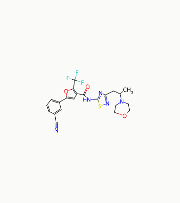 CC(Cc1nsc(NC(=O)c2cc(-c3cccc(C#N)c3)oc2C(F)(F)F)n1)N1CCOCC1